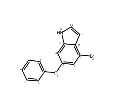 Brc1cc(Oc2ccccc2)cc2[nH]ccc12